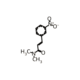 CN(C)C(=O)C=Cc1cccc([N+](=O)[O-])c1